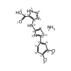 N.O=C(O)c1[nH]nnc1Nc1csc(-c2ccc(Cl)c(Cl)c2)n1